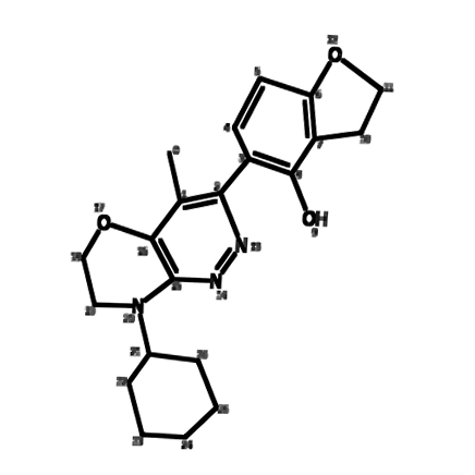 Cc1c(-c2ccc3c(c2O)CCO3)nnc2c1OCCN2C1CCCCC1